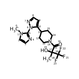 Cn1ccnc1-n1nccc1C1CCN(C(=O)C(C)(O)C(F)(F)F)CC1